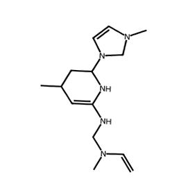 C=CN(C)CNC1=CC(C)CC(N2C=CN(C)C2)N1